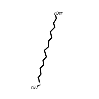 CCCCCCCCCCCCCCCCCCCCCCC[CH]SCCCC